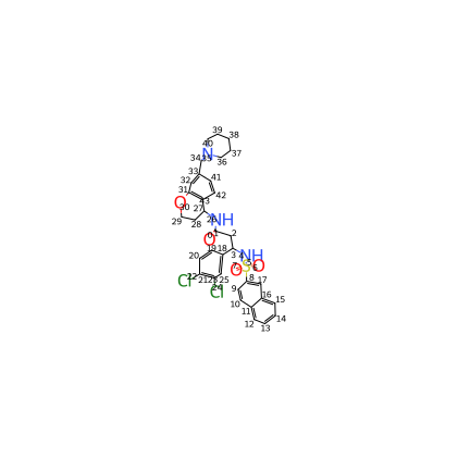 O=C(CC(NS(=O)(=O)c1ccc2ccccc2c1)c1ccc(Cl)c(Cl)c1)NC1CCOc2cc(CN3CCCCC3)ccc21